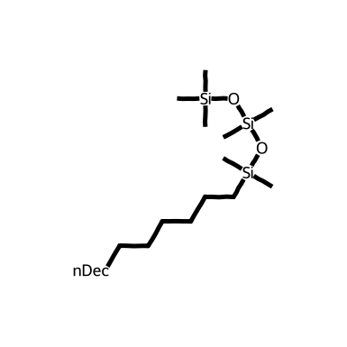 CCCCCCCCCCCCCCCC[Si](C)(C)O[Si](C)(C)O[Si](C)(C)C